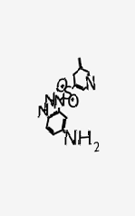 C=C1C=NC=C(S(=O)(=O)n2nnc3ccc(N)cc32)C1